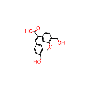 COc1cc(/C(=C\c2ccc(CO)cc2)C(=O)O)ccc1CO